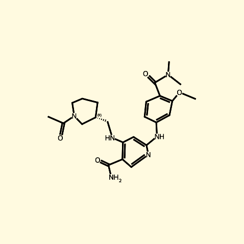 COc1cc(Nc2cc(NC[C@H]3CCCN(C(C)=O)C3)c(C(N)=O)cn2)ccc1C(=O)N(C)C